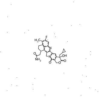 Cc1c(F)cc2nc3c(c4c2c1CCC4CC(N)=O)Cn1c-3cc2c(c1=O)COC(=O)C2(O)CC1CC1